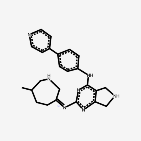 CC1CC/C(=N/c2nc3c(c(Nc4ccc(-c5ccncc5)cc4)n2)CNC3)CNC1